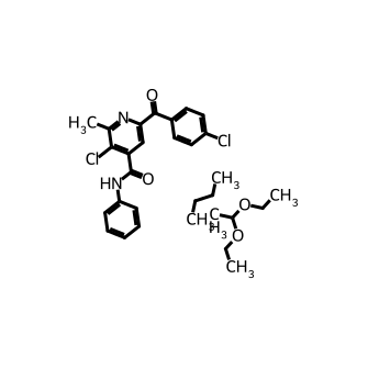 CCCC.CCOC(C)OCC.Cc1nc(C(=O)c2ccc(Cl)cc2)cc(C(=O)Nc2ccccc2)c1Cl